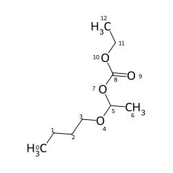 CCCCOC(C)OC(=O)OCC